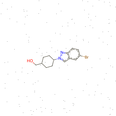 OCC1CCC(n2cc3cc(Br)ccc3n2)CC1